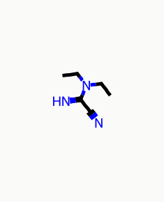 CCN(CC)C(=N)C#N